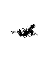 CON=C(Cn1nnnc1SCC1(C(=O)O)CS[C@@H]2C(NC(=O)C(=NOCc3ccc(F)cc3)c3csc(N)n3)C(=O)N2C1)C(=O)O